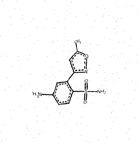 Cc1cc(-c2cc(N)ccc2S(N)(=O)=O)no1